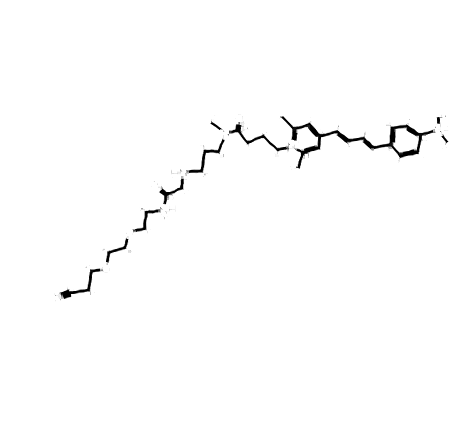 Cc1cc(/C=C/C=C/c2ccc(N(C)C)cc2)cc(C)[n+]1CCCC(=O)N(C)CCCNCC(=O)NCCOCCOCCC#N